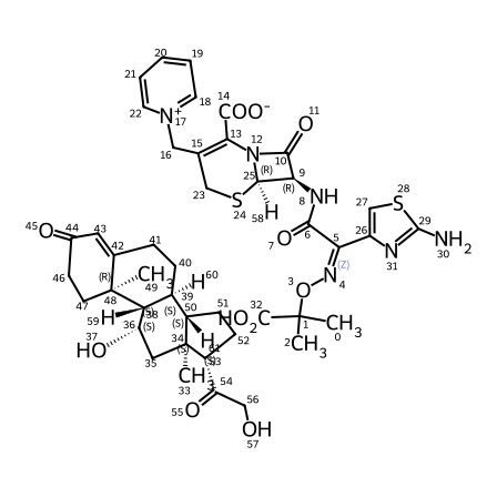 CC(C)(O/N=C(\C(=O)N[C@@H]1C(=O)N2C(C(=O)[O-])=C(C[n+]3ccccc3)CS[C@H]12)c1csc(N)n1)C(=O)O.C[C@]12C[C@H](O)[C@H]3[C@@H](CCC4=CC(=O)CC[C@@]43C)[C@@H]1CC[C@@H]2C(=O)CO